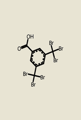 O=C(O)c1cc(C(Br)(Br)Br)cc(C(Br)(Br)Br)c1